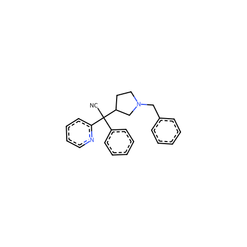 N#CC(c1ccccc1)(c1ccccn1)C1CCN(Cc2ccccc2)C1